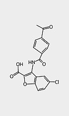 CC(=O)c1ccc(C(=O)Nc2c(C(=O)O)oc3ccc(Cl)cc23)cc1